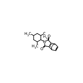 CC1CC(C)C(N2C(=O)C3C4C=CC(O4)C3C2=O)C(C)C1